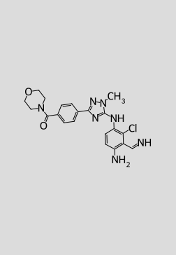 Cn1nc(-c2ccc(C(=O)N3CCOCC3)cc2)nc1Nc1ccc(N)c(C=N)c1Cl